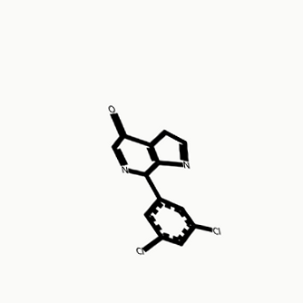 O=C1C=NC(c2cc(Cl)cc(Cl)c2)C2=C1CC=N2